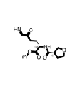 CC(C)OC(=O)[C@H](CCC(=O)C=N)NC(=O)[C@@H]1CCOC1